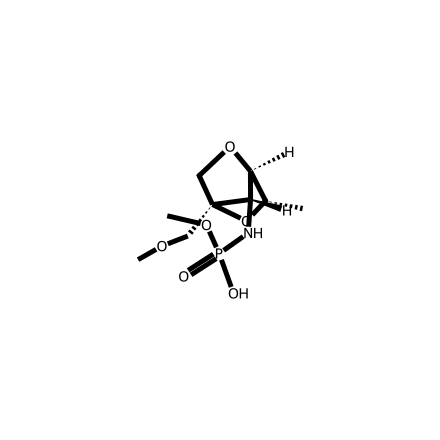 COC[C@@]12CO[C@@H]([C@H](C)O1)[C@@H]2NP(=O)(O)OC